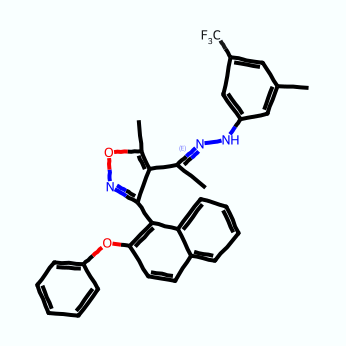 C/C(=N\Nc1cc(C)cc(C(F)(F)F)c1)c1c(-c2c(Oc3ccccc3)ccc3ccccc23)noc1C